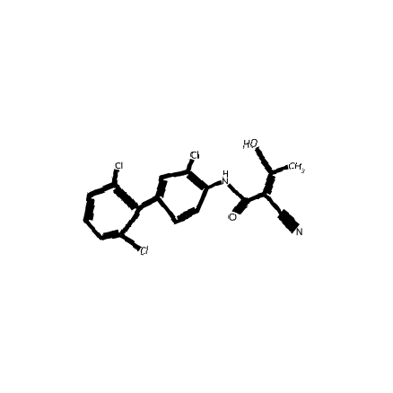 CC(O)=C(C#N)C(=O)Nc1ccc(-c2c(Cl)cccc2Cl)cc1Cl